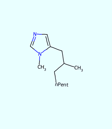 CCCCCCC(C)Cc1cncn1C